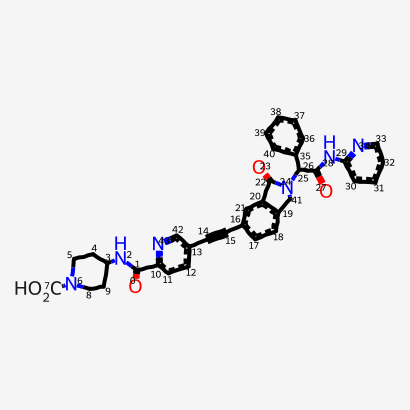 O=C(NC1CCN(C(=O)O)CC1)c1ccc(C#Cc2ccc3c(c2)C(=O)N(C(C(=O)Nc2ccccn2)c2ccccc2)C3)cn1